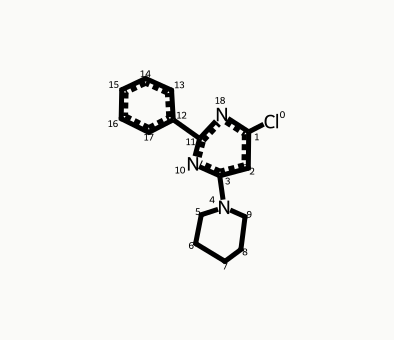 Clc1cc(N2CCCCC2)nc(-c2ccccc2)n1